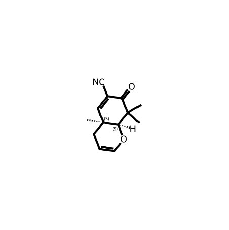 CC1(C)C(=O)C(C#N)=C[C@]2(C)CC=CO[C@H]12